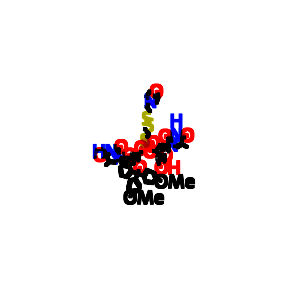 COc1ccc(C(OC2C[C@H](n3cc(C)c(=O)[nH]c3=O)O[C@@H]2COP(=O)(OC2C[C@H](n3cc(C)c(=O)[nH]c3=O)O[C@@H]2CO)SCCSSCCN2CCOCC2)(c2ccccc2)c2ccc(OC)cc2)cc1